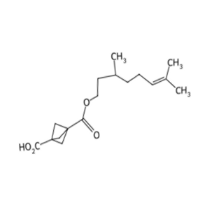 CC(C)=CCCC(C)CCOC(=O)C12CC(C(=O)O)(C1)C2